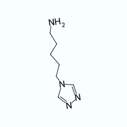 NCCCCCn1cnnc1